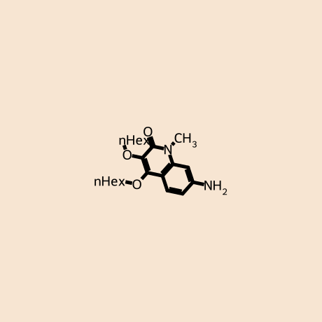 CCCCCCOc1c(OCCCCCC)c2ccc(N)cc2n(C)c1=O